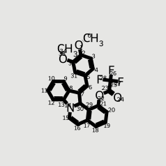 COc1ccc(C=C2c3ccccc3N3C=Cc4cccc(OC(=O)C(F)(F)F)c4C23)cc1OC